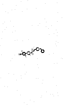 C[C@@H]1CN(c2cc(F)c(C#N)cc2F)CCN1C(=O)NCCC1CCN(Cc2ccccc2)CC1